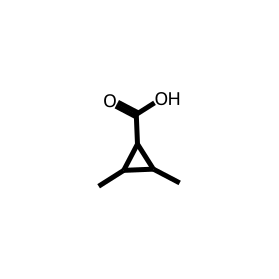 CC1C(C)C1C(=O)O